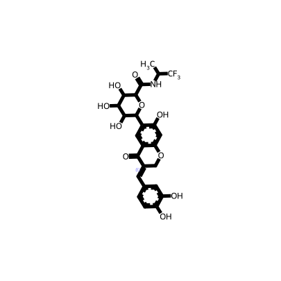 CC(NC(=O)C1OC(c2cc3c(cc2O)OC/C(=C\c2ccc(O)c(O)c2)C3=O)C(O)C(O)C1O)C(F)(F)F